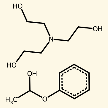 CC(O)Oc1ccccc1.OCCN(CCO)CCO